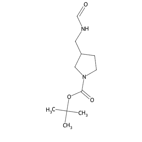 CC(C)(C)OC(=O)N1CCC(CNC=O)C1